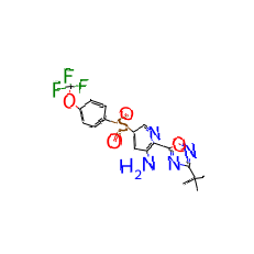 CC(C)(C)c1noc(-c2ncc(S(=O)(=O)c3ccc(OC(F)(F)F)cc3)cc2N)n1